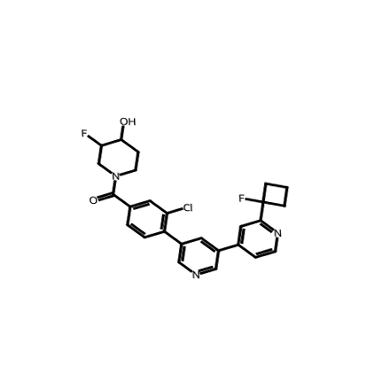 O=C(c1ccc(-c2cncc(-c3ccnc(C4(F)CCC4)c3)c2)c(Cl)c1)N1CCC(O)C(F)C1